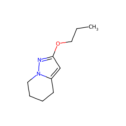 CCCOc1cc2n(n1)CCCC2